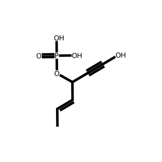 CC=CC(C#CO)OP(=O)(O)O